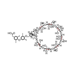 C[C@@H](O)C(O)[C@@H]1O[C@@H]2OC(CO)[C@@H](O[C@H]3OC(CO)[C@@H](O[C@@H]4OC(CO)[C@@H](O[C@H]5OC(CO)[C@@H](O[C@@H]6OC(CO)[C@@H](O[C@@H]7CC(O)[C@H](O[C@@H]8CC(O)[C@H](OO[C@@]9(C)C1[C@H]9n1cc(COc9c(I)cc(Oc%10c(I)cc(CC(=O)O)cc%10I)cc9I)nn1)C(CO)O8)C(CO)O7)C(O)C6O)C(O)C5O)C(O)C4O)C(O)C3O)C(O)C2O